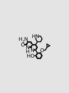 Nc1cc2c(C3CCCNC3)cc(-c3c(O)cccc3OCC3CC3)nc2[nH]c1=O